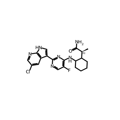 C[C@H](C(N)=O)C1CCCCC1Nc1nc(-c2c[nH]c3ncc(Cl)cc23)ncc1F